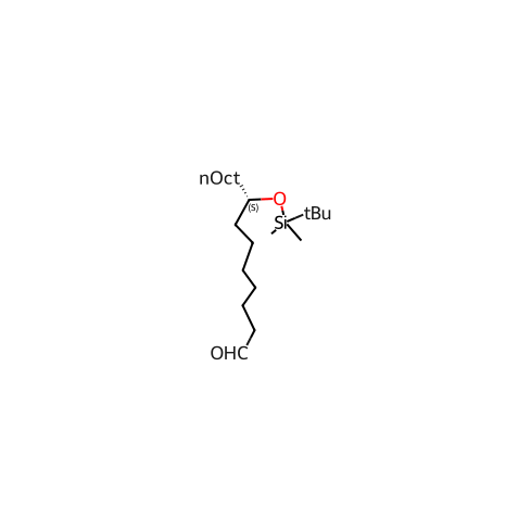 CCCCCCCC[C@@H](CCCCCCC=O)O[Si](C)(C)C(C)(C)C